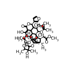 COC(=O)C[C@H]1[C@@]2(C)C[C@@]34O[C@]5(C)O[C@]6([C@@H]7/C(=C(/O)C(C)C)C(=O)O[C@@H](c8ccoc8)[C@]7(C)C(OC(C)=O)C(OC(C)=O)[C@]6(O5)[C@]13C)[C@H](OC(C)=O)[C@@]4(O)[C@H]2OC(=O)C(C)(O)C(C)O